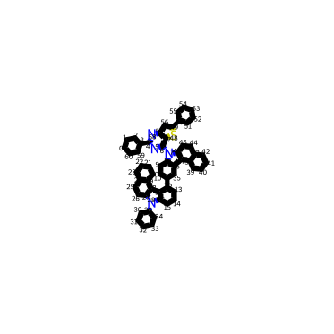 c1ccc(-c2nc(-n3c4ccc(-c5cccc6c5c5c7ccccc7ccc5n6-c5ccccc5)cc4c4c5ccccc5ccc43)c3sc(-c4ccccc4)cc3n2)cc1